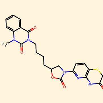 Cn1c(=O)n(CCCCC2CN(c3ccc4c(n3)NC(=O)CS4)C(=O)O2)c(=O)c2ccccc21